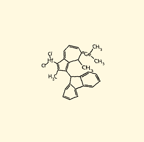 CC1=[C]([Hf]([Cl])[Cl])C2=CC=C[C](=[Ge]([CH3])[CH3])C(C)C2=C1C1c2ccccc2-c2ccccc21